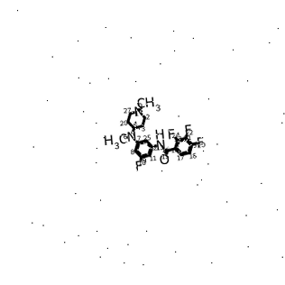 CN1CCC(N(C)c2cc(F)cc(NC(=O)c3ccc(F)c(F)c3F)c2)CC1